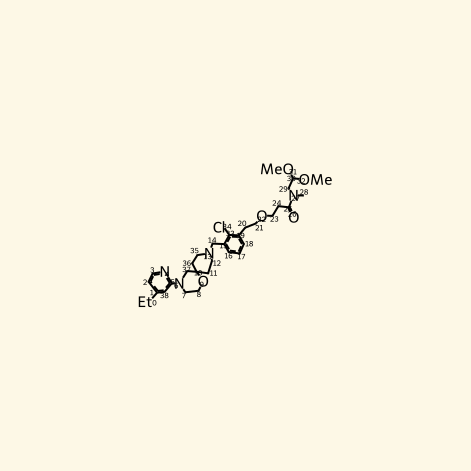 CCc1ccnc(N2CCOC3(CCN(Cc4cccc(CCOCCC(=O)N(C)CC(OC)OC)c4Cl)CC3)C2)c1